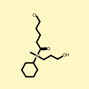 C[N+](CCCO)(C(=O)CCCCCl)C1CCCCC1